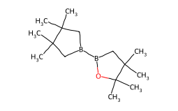 CC1(C)CB(B2CC(C)(C)C(C)(C)O2)CC1(C)C